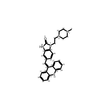 CN1CCN(CCn2c(=O)[nH]c3cc(C=C4c5ccccc5Sc5ccccc54)ccc32)CC1